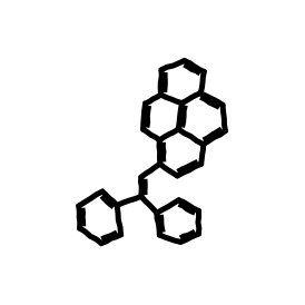 C(=C(c1ccccc1)c1ccccc1)c1ccc2ccc3cccc4ccc1c2c34